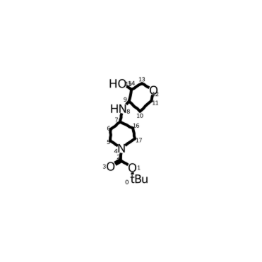 CC(C)(C)OC(=O)N1CCC(NC2CCOCC2O)CC1